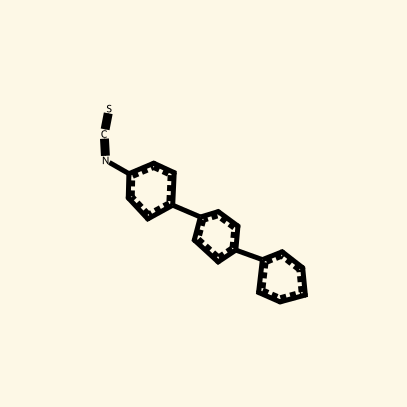 S=C=Nc1ccc(-c2ccc(-c3ccccc3)cc2)cc1